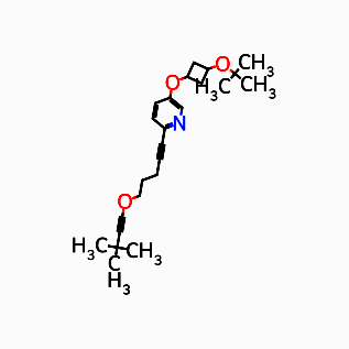 CC(C)(C)C#COCCCC#Cc1ccc(OC2CC(OC(C)(C)C)C2)cn1